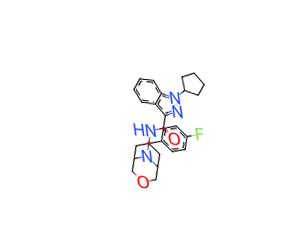 O=C(NC1CC2COCC(C1)N2Cc1ccc(F)cc1)c1nn(C2CCCC2)c2ccccc12